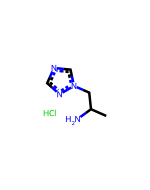 CC(N)Cn1cncn1.Cl